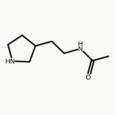 CC(=O)NCCC1CCNC1